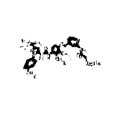 COCC(=O)Nc1cc(COc2ccc(NC(=O)Nc3cc(C(C)(C)C)nn3-c3ccc(C)cc3)c(C)c2C)ccn1